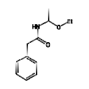 CCOC(C)NC(=O)Cc1ccccc1